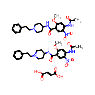 COc1cc(NC(C)=O)c([N+](=O)[O-])cc1C(=O)NC1CCN(CCc2ccccc2)CC1.COc1cc(NC(C)=O)c([N+](=O)[O-])cc1C(=O)NC1CCN(CCc2ccccc2)CC1.O=C(O)/C=C/C(=O)O